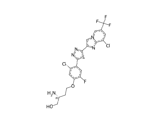 N[C@@H](CO)CCOc1cc(Cl)c(-c2nnc(-c3cn4cc(C(F)(F)F)cc(Cl)c4n3)s2)cc1F